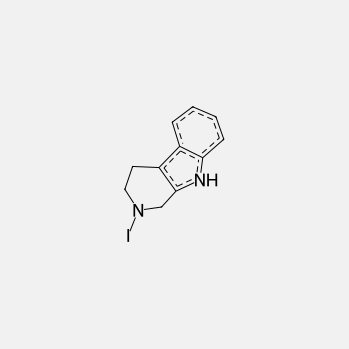 IN1CCc2c([nH]c3ccccc23)C1